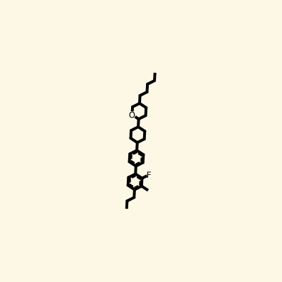 CCCCCC1CCC(C2CCC(c3ccc(-c4ccc(CCC)c(C)c4F)cc3)CC2)OC1